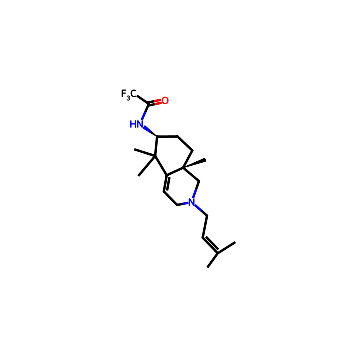 CC(C)=CCN1CC=C2C(C)(C)[C@@H](NC(=O)C(F)(F)F)CC[C@]2(C)C1